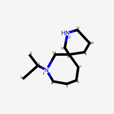 CC(C)N1CCCCC2(CCCNC2)C1